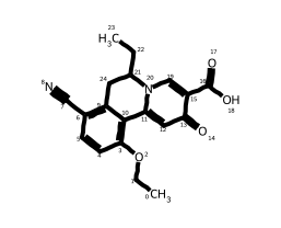 CCOc1ccc(C#N)c2c1-c1cc(=O)c(C(=O)O)cn1C(CC)C2